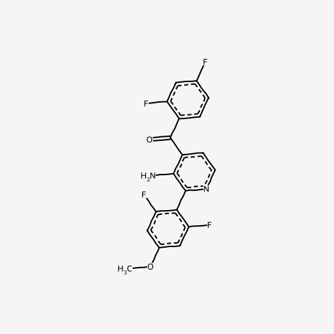 COc1cc(F)c(-c2nccc(C(=O)c3ccc(F)cc3F)c2N)c(F)c1